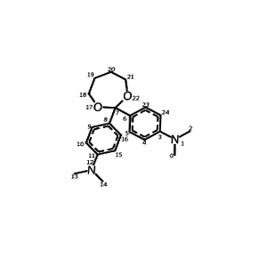 CN(C)c1ccc(C2(c3ccc(N(C)C)cc3)OCCCCO2)cc1